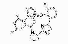 COc1c(F)cccc1-c1noc(C2CCCN2C(=O)c2cc(F)cc(C)c2-n2nccn2)n1